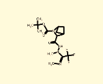 C/N=C(\N(C)NC(=O)C1C2CC(C2)N1C(=O)OC(C)(C)C)C(F)(F)F